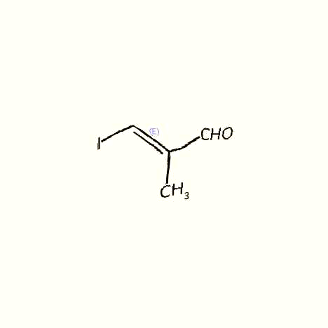 C/C(C=O)=C\I